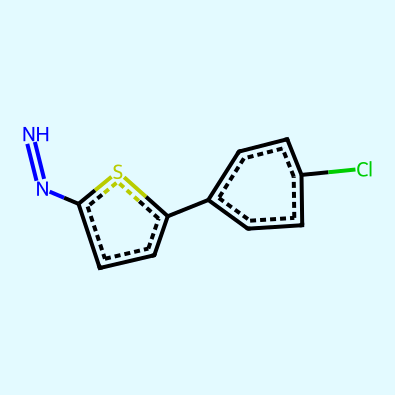 N=Nc1ccc(-c2ccc(Cl)cc2)s1